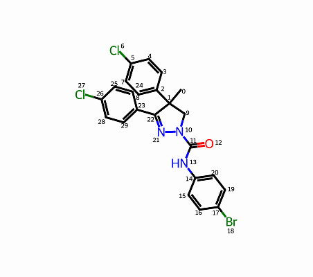 CC1(c2ccc(Cl)cc2)CN(C(=O)Nc2ccc(Br)cc2)N=C1c1ccc(Cl)cc1